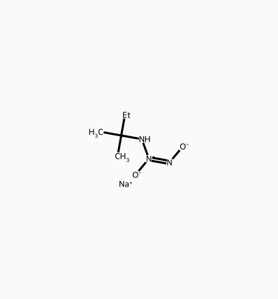 CCC(C)(C)N/[N+]([O-])=N\[O-].[Na+]